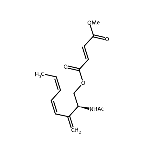 C=C(/C=C\C=C/C)[C@@H](COC(=O)/C=C/C(=O)OC)NC(C)=O